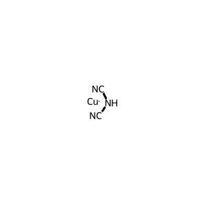 N#CNC#N.[Cu]